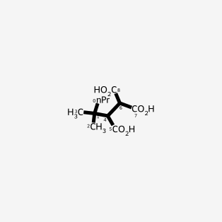 CCCC(C)(C)C(C(=O)O)C(C(=O)O)C(=O)O